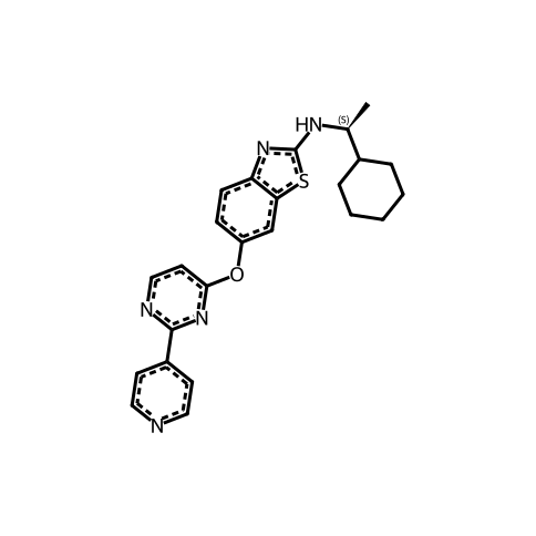 C[C@H](Nc1nc2ccc(Oc3ccnc(-c4ccncc4)n3)cc2s1)C1CCCCC1